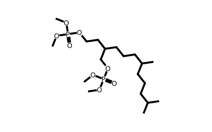 COP(=O)(OC)OCCC(CCCC(C)CCCC(C)C)COP(=O)(OC)OC